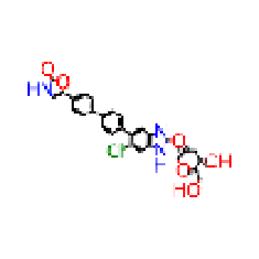 O=c1[nH]cc(-c2ccc(-c3ccc(-c4cc5nc(O[C@H]6CO[C@H](CO)[C@@H](O)C6)[nH]c5cc4Cl)cc3)cc2)o1